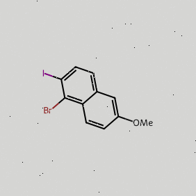 COc1ccc2c(Br)c(I)ccc2c1